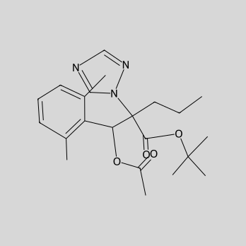 CCCC(C(=O)OC(C)(C)C)(C(OC(C)=O)c1c(C)cccc1C)n1cncn1